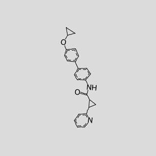 O=C(Nc1ccc(-c2ccc(OC3CC3)cc2)cc1)C1CC1c1ccccn1